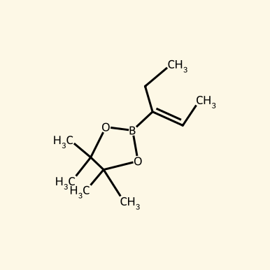 C/C=C(\CC)B1OC(C)(C)C(C)(C)O1